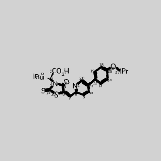 CC[C@@H](C)[C@@H](C(=O)O)N1C(=O)/C(=C\c2ccc(-c3ccc(OC(C)C)cc3)cn2)SC1=S